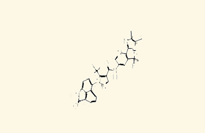 Cc1nc(-c2ncc(NC(=O)c3cnn(-c4ccc5c6c(cccc46)C(=O)N5)c3C(F)(F)F)cc2C(F)(F)F)oc1C